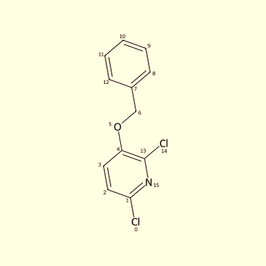 Clc1ccc(OCc2ccccc2)c(Cl)n1